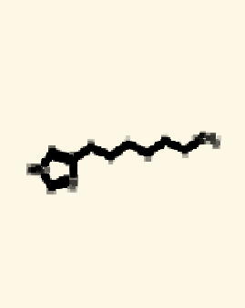 [CH2]CCCCCCc1c[nH]cn1